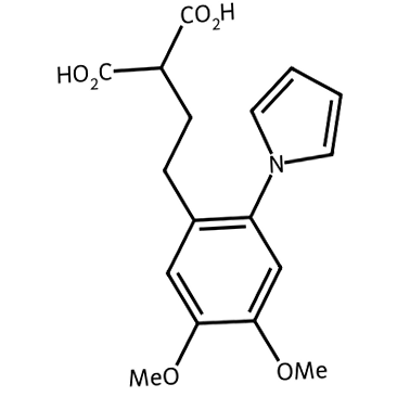 COc1cc(CCC(C(=O)O)C(=O)O)c(-n2cccc2)cc1OC